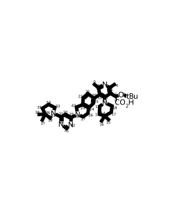 Cc1nc(C)c([C@H](OC(C)(C)C)C(=O)O)c(N2CCC(C)(C)CC2)c1-c1ccc2c(c1)CCN(c1cc(N3CCCC(C)(C)C3)ncn1)C2